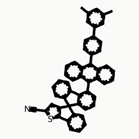 Cc1cc(C)cc(-c2ccc(-c3c4ccccc4c(-c4cccc5c4-c4ccccc4C54c5ccccc5-c5sc(C#N)cc54)c4ccccc34)cc2)c1